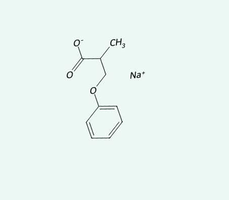 CC(COc1ccccc1)C(=O)[O-].[Na+]